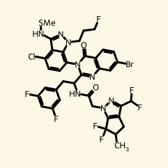 CSNc1nn(CCCF)c2c(-n3c(C(Cc4cc(F)cc(F)c4)NC(=O)Cn4nc(C(F)F)c5c4C(F)(F)C(C)C5)nc4cc(Br)ccc4c3=O)ccc(Cl)c12